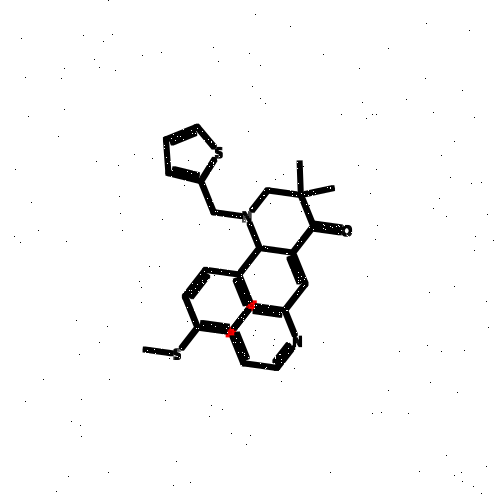 CSc1ccc(C2/C(=C\c3ccccn3)C(=O)C(C)(C)CN2Cc2cccs2)cc1